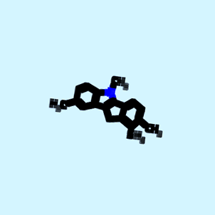 Cc1ccc2c(c1)c1c(n2C)-c2ccc(C)c([SiH3])c2C1